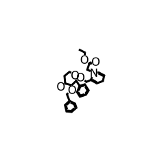 CCOC(=O)CN1C=CCC=C1COC1(c2ccccc2)OCCC(=O)C1OCc1ccccc1